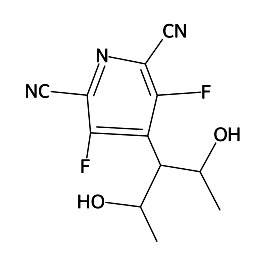 CC(O)C(c1c(F)c(C#N)nc(C#N)c1F)C(C)O